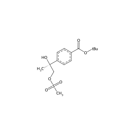 CC(C)(C)OC(=O)c1ccc([C@](C)(O)COS(C)(=O)=O)cc1